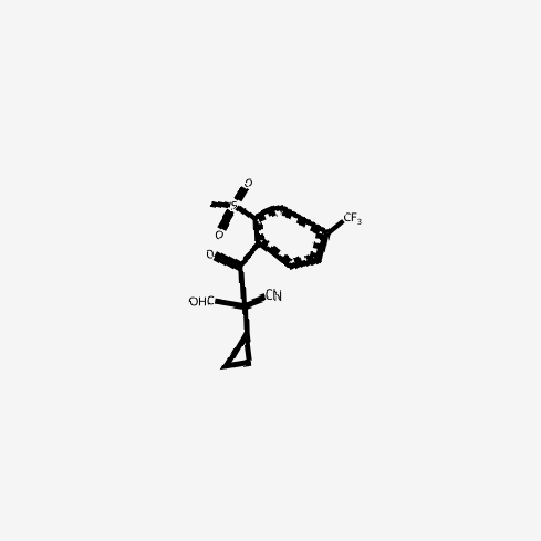 CS(=O)(=O)c1cc(C(F)(F)F)ccc1C(=O)C(C#N)(C=O)C1CC1